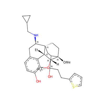 CC[C@]12c3c4ccc(O)c3O[C@H]1[C@@]1(OC)CC[C@@]2(CC1[C@](C)(O)CCc1cccs1)[C@H](NCC1CC1)C4